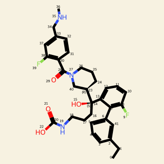 CCc1cccc(-c2c(F)cccc2[C@](O)(CCCNC(=O)O)[C@@H]2CCCN(C(=O)c3ccc(CNC)cc3F)C2)c1